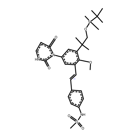 COc1c(/C=C/c2ccc(NS(C)(=O)=O)cc2)cc(-n2c(=O)cc[nH]c2=O)cc1C(C)(C)CO[Si](C)(C)C(C)(C)C